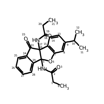 CCC(=O)NC12Oc3cc(C(C)C)ccc3C1(NC(=O)CC)C(=O)c1ccccc12